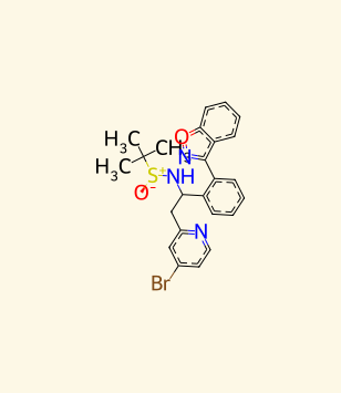 CC(C)(C)[S@+]([O-])NC(Cc1cc(Br)ccn1)c1ccccc1-c1noc2ccccc12